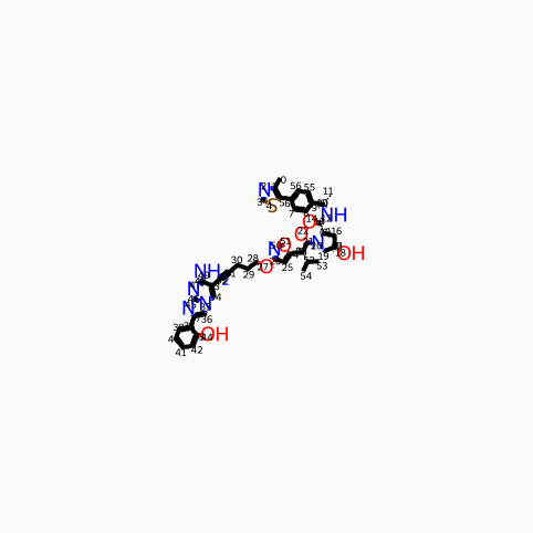 Cc1ncsc1-c1ccc([C@H](C)NC(=O)[C@@H]2C[C@@H](O)CN2C(=O)[C@@H](c2cc(OCCCC#Cc3cn4cc(-c5ccccc5O)nc4nc3N)no2)C(C)C)cc1